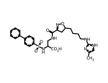 Cc1c[nH]c(NCCCCC2CC(C(=O)NCC(NS(=O)(=O)c3ccc(-c4ccccc4)cc3)C(=O)O)=NO2)n1